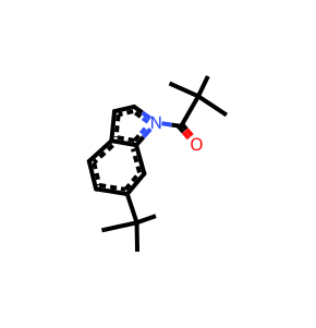 CC(C)(C)C(=O)n1ccc2ccc(C(C)(C)C)cc21